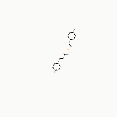 O=C(/C=C/c1ccc(I)cc1)CS(=O)(=O)C=Cc1ccc(I)cc1